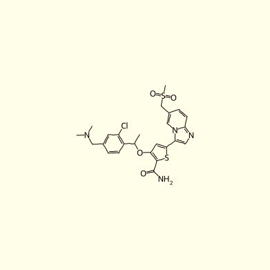 CC(Oc1cc(-c2cnc3ccc(CS(C)(=O)=O)cn23)sc1C(N)=O)c1ccc(CN(C)C)cc1Cl